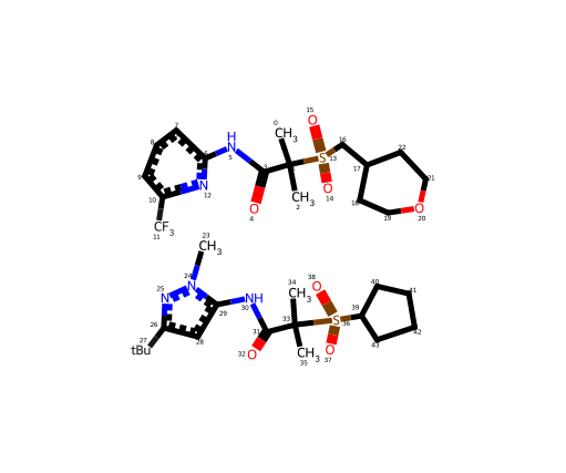 CC(C)(C(=O)Nc1cccc(C(F)(F)F)n1)S(=O)(=O)CC1CCOCC1.Cn1nc(C(C)(C)C)cc1NC(=O)C(C)(C)S(=O)(=O)C1CCCC1